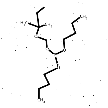 CCCCOP(OCCCC)OCOC(C)(C)CI